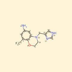 Nc1cc2c(c(C(F)(F)F)c1)OCCN2Cc1c[nH]cn1